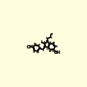 CCCn1c(C)c(Cc2ccc(Cl)cc2)c2cc(O)ccc21